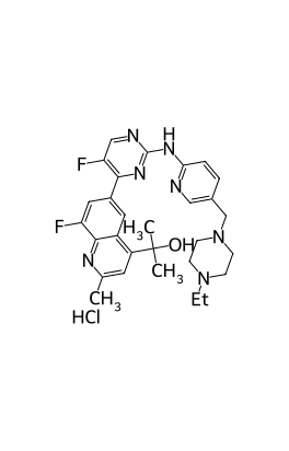 CCN1CCN(Cc2ccc(Nc3ncc(F)c(-c4cc(F)c5nc(C)cc(C(C)(C)O)c5c4)n3)nc2)CC1.Cl